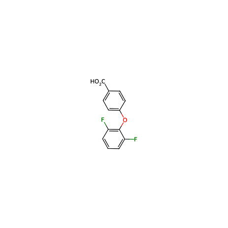 O=C(O)c1ccc(Oc2c(F)cccc2F)cc1